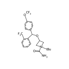 CC(C)(C)[N+]1(C(N)=O)CC(OC(c2ccc(OC(F)(F)F)cc2)c2ccccc2C(F)(F)F)C1